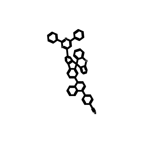 N#Cc1ccc(-c2ccc(-c3ccc4c(c3)C3(c5ccccc5Oc5ccccc53)c3cc(-c5cc(-c6ccccc6)nc(-c6ccccc6)n5)ccc3-4)c3ccccc23)cc1